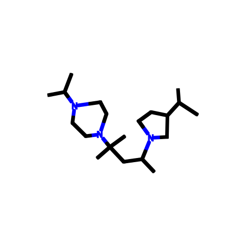 CC(C)C1CCN(C(C)CC(C)(C)N2CCN(C(C)C)CC2)C1